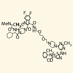 CN[C@@H](C)C(=O)N[C@H](C(=O)N1CCN(C(=O)c2c(C(=O)NCCOCCOCCN3CCN(c4cc(Nc5ncc(C(=O)Nc6c(C)cccc6Cl)s5)nc(C)n4)CC3)c3cc(F)c(F)cc3n2C)CC1)C1CCCCC1